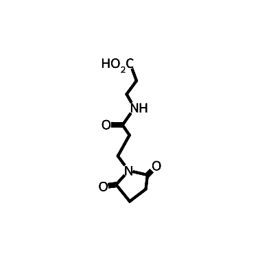 O=C(O)CCNC(=O)CCN1C(=O)CCC1=O